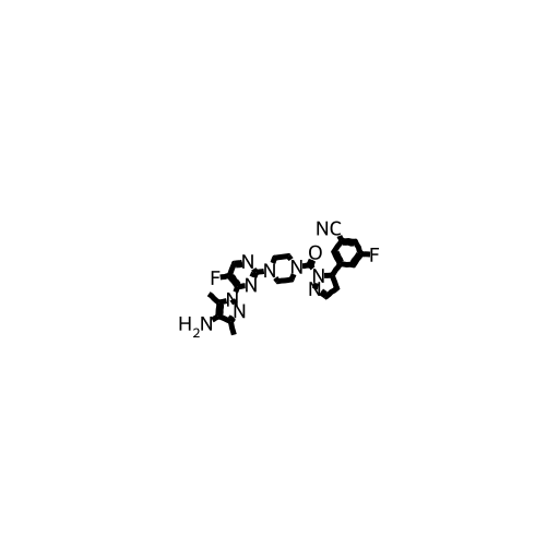 Cc1nn(-c2nc(N3CCN(C(=O)N4N=CCC4c4cc(F)cc(C#N)c4)CC3)ncc2F)c(C)c1N